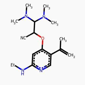 C=C(C)c1cnc(NCC)cc1OC(C#N)C(N(C)C)N(C)C